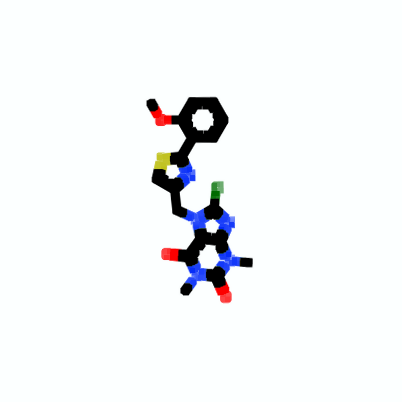 COc1ccccc1-c1nc(Cn2c(Cl)nc3c2c(=O)n(C)c(=O)n3C)cs1